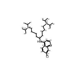 CC(C)N(CCCCC(CCCCN(C(C)C)C(C)C)Nc1ccnc2cc(Cl)ccc12)C(C)C